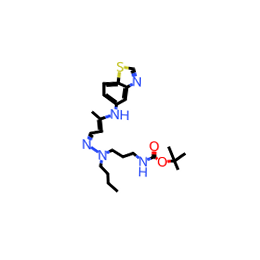 CCCCN(CCCNC(=O)OC(C)(C)C)/N=C\C=C(/C)Nc1ccc2scnc2c1